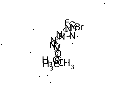 C[Si](C)(C)CCOCn1ccc2c(-c3cnn([C@@H](CC#N)[C@H]4CCN(c5nc(Br)ccc5F)C4)c3)ncnc21